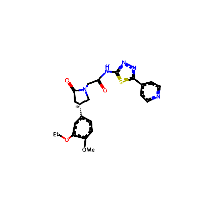 CCOc1cc([C@@H]2CC(=O)N(CC(=O)Nc3nnc(-c4ccncc4)s3)C2)ccc1OC